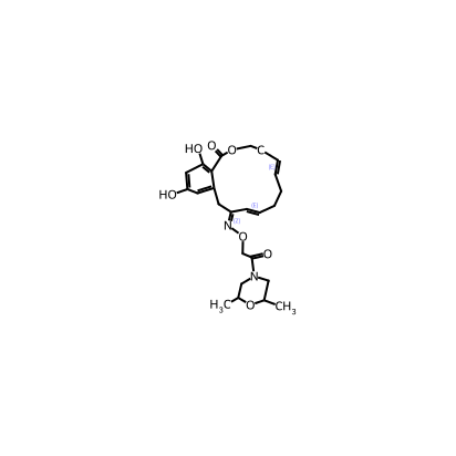 CC1CN(C(=O)CO/N=C2\C=C\CC/C=C/CCOC(=O)c3c(O)cc(O)cc3C2)CC(C)O1